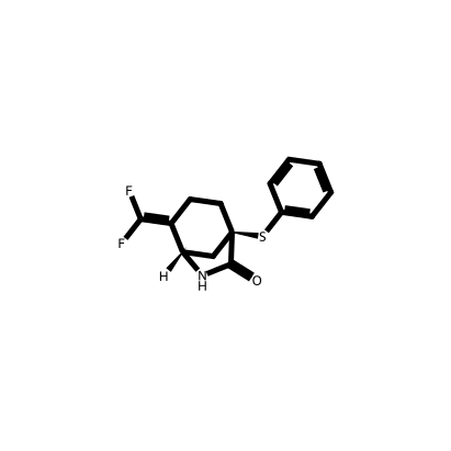 O=C1N[C@H]2C[C@]1(Sc1ccccc1)CCC2=C(F)F